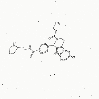 CCOC(=O)N1CCc2c([nH]c3ccc(Cl)cc23)C1c1ccc(C(=O)NCCC2CCCN2)cc1